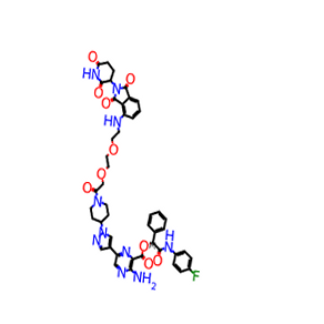 Nc1ncc(-c2cnn(C3CCN(C(=O)COCCOCCNc4cccc5c4C(=O)N(C4CCC(=O)NC4=O)C5=O)CC3)c2)nc1C(=O)O[C@@H](C(=O)Nc1ccc(F)cc1)c1ccccc1